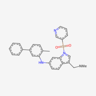 CNCc1cn(S(=O)(=O)c2cccnc2)c2cc(Nc3cc(-c4ccccc4)ccc3C)ccc12